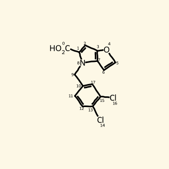 O=C(O)c1cc2occc2n1Cc1ccc(Cl)c(Cl)c1